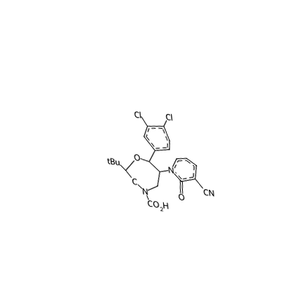 CC(C)(C)C1CN(C(=O)O)CC(n2cccc(C#N)c2=O)C(c2ccc(Cl)c(Cl)c2)O1